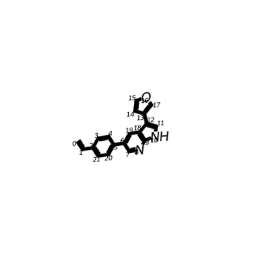 C=Cc1ccc(-c2cnc3[nH]cc(-c4ccoc4)c3c2)cc1